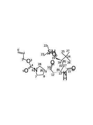 C=CCOC(=O)N1CC[C@@H](C(=O)C[C@H]2NC(=O)[C@H]2[C@@H](CO[SiH](C)C)C(C)(C)C)C1